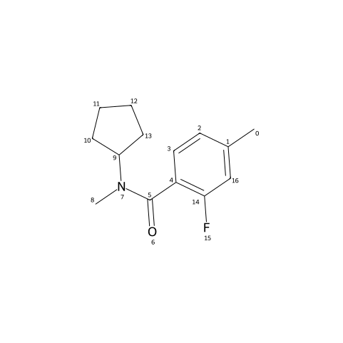 Cc1ccc(C(=O)N(C)C2CCCC2)c(F)c1